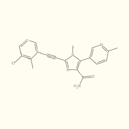 Cc1ccc(-c2c(C(N)=O)nc(C#Cc3cccc(Cl)c3C)n2C)cn1